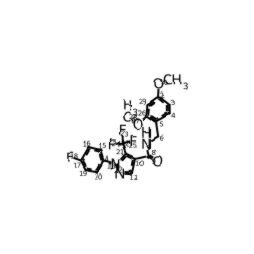 COc1ccc(CNC(=O)c2cnn(-c3ccc(F)cc3)c2C(F)(F)F)c(OC)c1